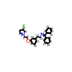 F[C@@H]1CCN(CCOc2cccc(CCN=C(c3ccccc3)c3ccccc3)c2)C1